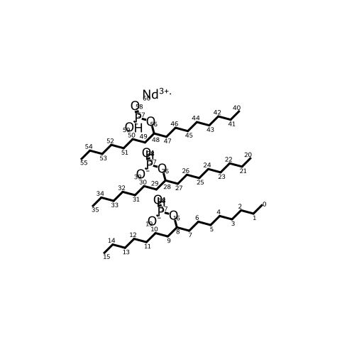 CCCCCCCCC(CCCCCCC)O[PH](=O)[O-].CCCCCCCCC(CCCCCCC)O[PH](=O)[O-].CCCCCCCCC(CCCCCCC)O[PH](=O)[O-].[Nd+3]